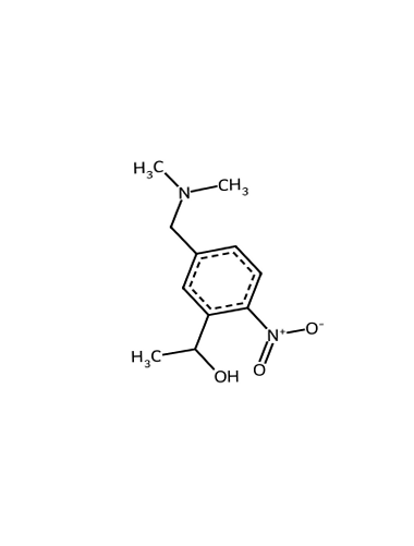 CC(O)c1cc(CN(C)C)ccc1[N+](=O)[O-]